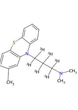 [2H]C([2H])(N(C)C)C([2H])([2H])C([2H])([2H])N1c2ccccc2Sc2ccc(C)cc21